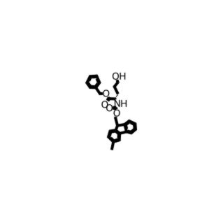 Cc1ccc2c(c1)-c1ccccc1C2COC(=O)N[C@@H](CCCO)C(=O)OCc1ccccc1